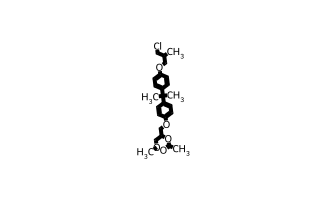 COCC(COc1ccc(C(C)(C)c2ccc(OCC(C)CCl)cc2)cc1)OC(C)=O